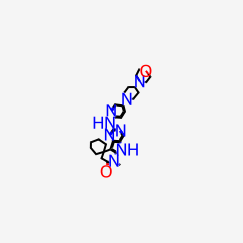 CN1C(=O)CC2(CCCCC2)c2c1[nH]c1cnc(Nc3ccc(N4CCC(N5CCOCC5)CC4)cn3)nc21